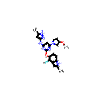 COC1CCN(c2cc(Nc3cc(C)[nH]n3)nc(Oc3ccc4[nH]c(C)cc4c3F)n2)C1